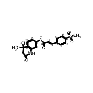 CC1(C)CC(=O)Nc2cc(NC(=O)C=Cc3ccc(S(C)(=O)=O)cc3)ccc21